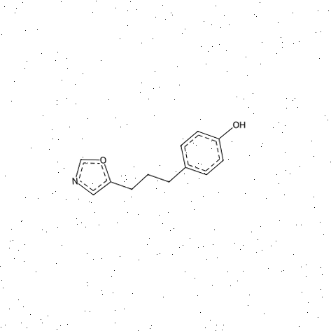 Oc1ccc(CCCc2cnco2)cc1